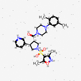 Cc1ccc(C)c(N2CCN(C(=O)[C@@H]3CN(S(=O)(=O)c4c(C)noc4C)C[C@H]3c3cccnc3)CC2)c1